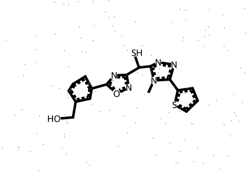 Cn1c(-c2cccs2)nnc1C(S)c1noc(-c2cccc(CO)c2)n1